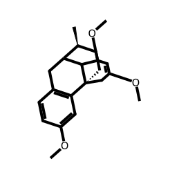 COC1=CC(OC)C2C3Cc4ccc(OC)cc4[C@]2(CC[C@@H]3C)C1